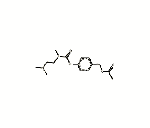 CC(=O)OCc1ccc(OC(=O)N(C)CCN(C)C)cc1